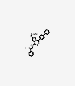 CO/N=C1/C[C@@H](C(=O)NCC(O)c2ccccc2)N(C(=O)c2ccc(-c3ccccc3)cc2)C1